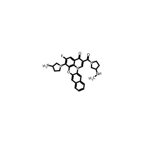 CNC1CCN(C(=O)c2cn3c4c(c(N5CCC(N)C5)c(F)cc4c2=O)Oc2cc4ccccc4cc2-3)C1